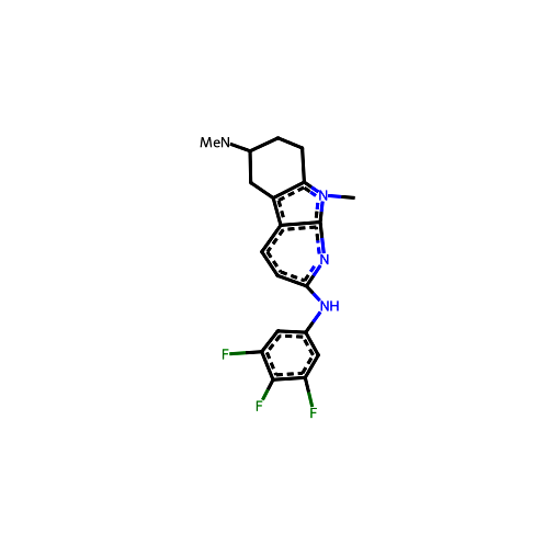 CNC1CCc2c(c3ccc(Nc4cc(F)c(F)c(F)c4)nc3n2C)C1